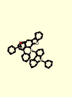 c1ccc(-c2nc3cc4c(oc5ccccc54)c(N(c4ccccc4-c4ccccc4)c4cccc5c4c4ccccc4n5-c4ccccc4)c3o2)cc1